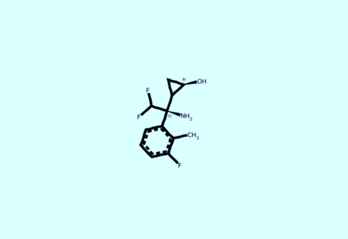 Cc1c(F)cccc1[C@](N)(C(F)F)C1C[C@H]1O